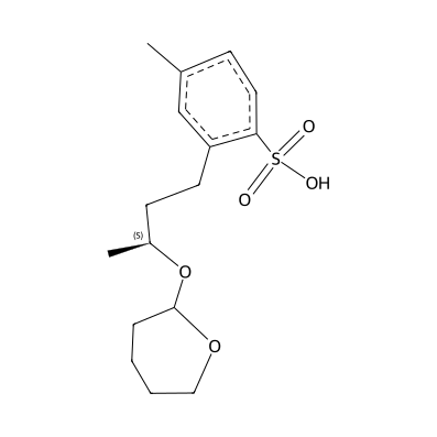 Cc1ccc(S(=O)(=O)O)c(CC[C@H](C)OC2CCCCO2)c1